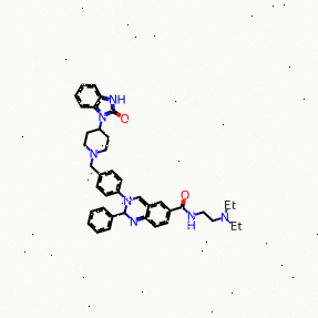 CCN(CC)CCNC(=O)c1ccc2c(c1)=CN(c1ccc(CN3CCC(n4c(=O)[nH]c5ccccc54)CC3)cc1)C(c1ccccc1)N=2